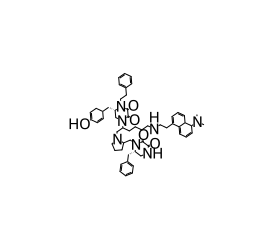 CN(C)C1C=CC=C2C(CCNCCCCC(CN3CCCC3CN3C(=O)C(=O)NC[C@@H]3Cc3ccccc3)N3C[C@H](CC4C=CC(O)=CC4)N(CCc4ccccc4)C(=O)C3=O)=CC=CC21